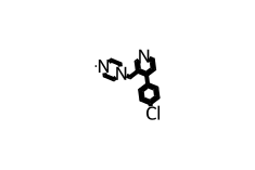 Clc1ccc(-c2ccncc2CN2CC[N]CC2)cc1